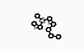 C1=CC(c2cccc3c2sc2c(-c4nc(-c5ccccc5)nc(-c5cccc6oc7ccccc7c56)n4)cccc23)=CC(c2cccc(-c3ccccc3)c2)C1